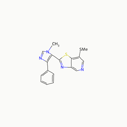 CSc1cncc2nc(-c3c(-c4ccccc4)ncn3C)sc12